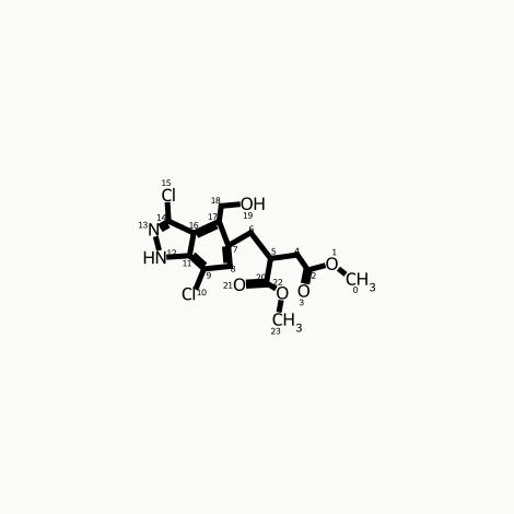 COC(=O)CC(Cc1cc(Cl)c2[nH]nc(Cl)c2c1CO)C(=O)OC